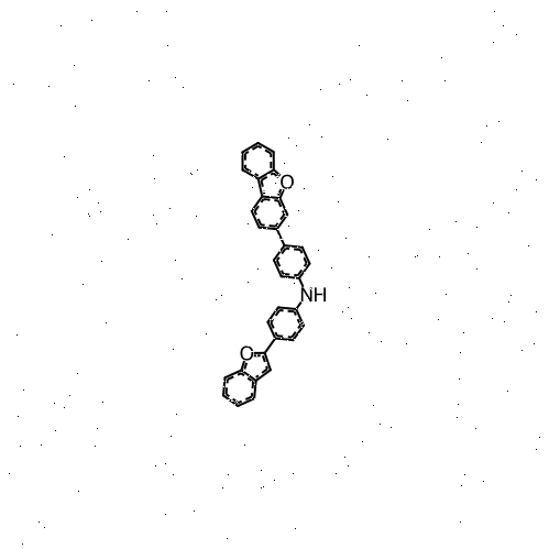 c1ccc2oc(-c3ccc(Nc4ccc(-c5ccc6c(c5)oc5ccccc56)cc4)cc3)cc2c1